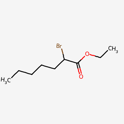 CCCCCC(Br)C(=O)OCC